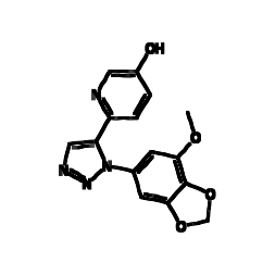 COc1cc(-n2nncc2-c2ccc(O)cn2)cc2c1OCO2